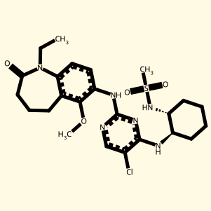 CCN1C(=O)CCCc2c1ccc(Nc1ncc(Cl)c(N[C@@H]3CCCC[C@H]3NS(C)(=O)=O)n1)c2OC